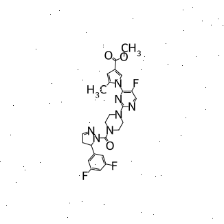 COC(=O)c1cc(C)n(-c2nc(N3CCN(C(=O)N4N=CCC4c4cc(F)cc(F)c4)CC3)ncc2F)c1